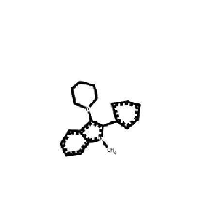 Cn1c(-c2ccccc2)c(N2CCCCC2)c2ccccc21